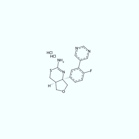 Cl.Cl.NC1=N[C@@]2(c3ccc(F)c(-c4cncnc4)c3)COC[C@H]2CS1